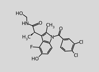 Cc1c([C@@H](C)C(=O)NCO)c2c(F)c(O)ccc2n1C(=O)c1ccc(Cl)c(Cl)c1